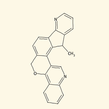 CC1c2cccnc2-c2ccc3c(c21)-c1cnc2ccccc2c1OC3